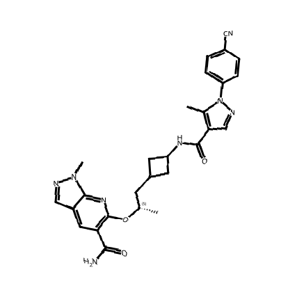 Cc1c(C(=O)NC2CC(C[C@H](C)Oc3nc4c(cnn4C)cc3C(N)=O)C2)cnn1-c1ccc(C#N)cc1